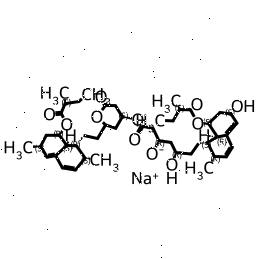 CC[C@H](C)C(=O)O[C@H]1C[C@H](O)C=C2C=C[C@H](C)[C@H](CC[C@@H](O)C[C@@H]([O-])CC(=O)O[C@@H]3CC(=O)OC(CC[C@H]4[C@H]5C(=C[C@@H](C)C[C@H]5OC(=O)[C@@H](C)CC)C=C[C@H]4C)C3)[C@H]21.[Na+]